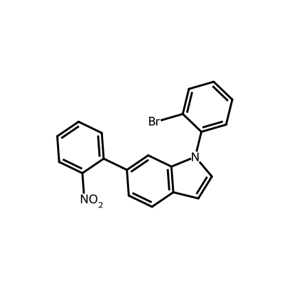 O=[N+]([O-])c1ccccc1-c1ccc2ccn(-c3ccccc3Br)c2c1